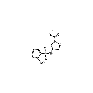 CC(C)(C)OC(=O)N1CC(NS(=O)(=O)c2ccccc2N=O)CO1